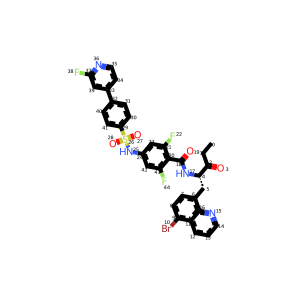 CCC(=O)[C@H](Cc1ccc(Br)c2cccnc12)NC(=O)c1c(F)cc(NS(=O)(=O)c2ccc(-c3ccnc(F)c3)cc2)cc1F